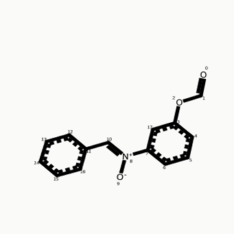 O=COc1cccc([N+]([O-])=Cc2ccccc2)c1